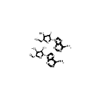 Nc1ncnc2c1ncn2[C@@H]1O[C@H](CO)[C@@H](O)[C@H]1F.Nc1ncnc2c1ncn2[C@@H]1O[C@H](CO)[C@@H](O)[C@H]1O